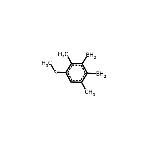 Bc1c(C)cc(SC)c(C)c1B